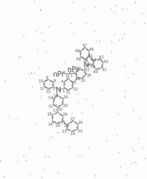 CCCC1(CCC)c2cc(N(c3ccccc3)c3ccc(-c4cccc(-c5ccccc5)c4)cc3)ccc2-c2ccc(-n3c4ccccc4c4ccccc43)cc21